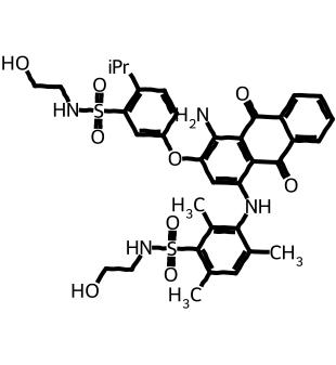 Cc1cc(C)c(S(=O)(=O)NCCO)c(C)c1Nc1cc(Oc2ccc(C(C)C)c(S(=O)(=O)NCCO)c2)c(N)c2c1C(=O)c1ccccc1C2=O